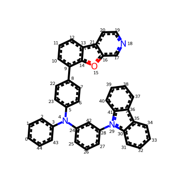 c1ccc(N(c2ccc(-c3cccc4c3oc3cnccc34)cc2)c2cccc(-n3c4ccccc4c4ccccc43)c2)cc1